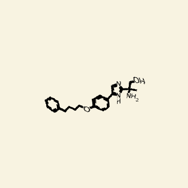 CC(N)(CO)c1ncc(-c2ccc(OCCCCc3ccccc3)cc2)[nH]1